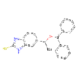 CC(C)(C)C(O[SiH](c1ccccc1)c1ccccc1)c1ccc2nc(S)[nH]c2c1